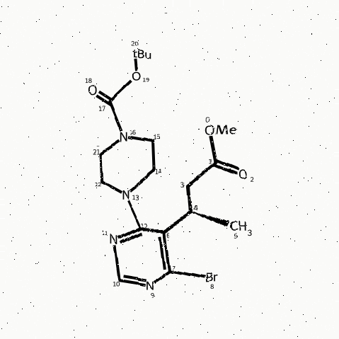 COC(=O)C[C@@H](C)c1c(Br)ncnc1N1CCN(C(=O)OC(C)(C)C)CC1